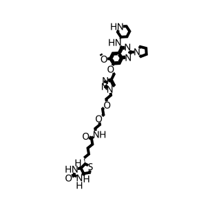 COc1cc2c(N[C@@H]3CCCNC3)nc(N3CCCC3)nc2cc1OCc1cn(CCOCCOCCNC(=O)CCCC[C@@H]2SC[C@@H]3NC(=O)N[C@@H]32)nn1